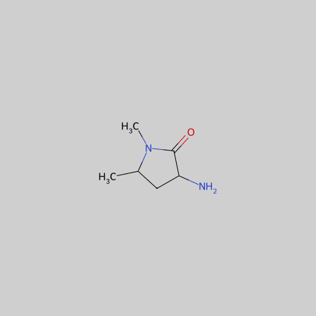 CC1CC(N)C(=O)N1C